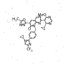 COc1ncnc(C2CC2)c1-c1ncc2cc(-c3nnc(C)o3)c(=O)n(Cc3ccc(-c4nc(C(F)(F)F)cn4C4CC4)cc3)c2n1